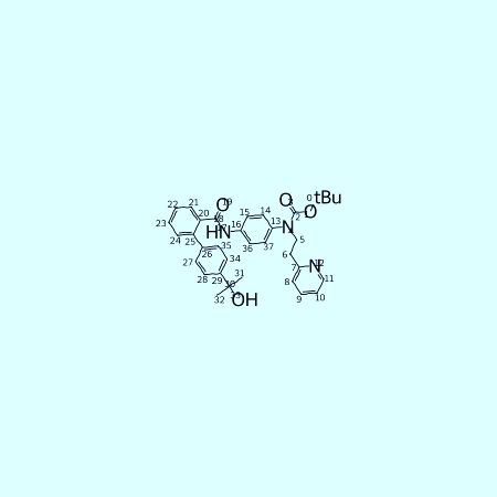 CC(C)(C)OC(=O)N(CCc1ccccn1)c1ccc(NC(=O)c2ccccc2-c2ccc(C(C)(C)O)cc2)cc1